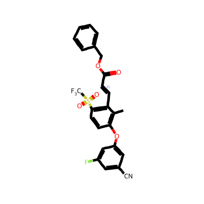 Cc1c(Oc2cc(F)cc(C#N)c2)ccc(S(=O)(=O)C(F)(F)F)c1/C=C/C(=O)OCc1ccccc1